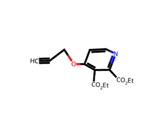 C#CCOc1ccnc(C(=O)OCC)c1C(=O)OCC